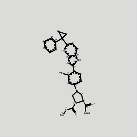 COC(=O)[C@@H]1C[C@H](c2ccc(-c3nc4ccc(C5(c6ccccc6)CC5)nc4s3)c(F)c2)CN1C(=O)OC(C)(C)C